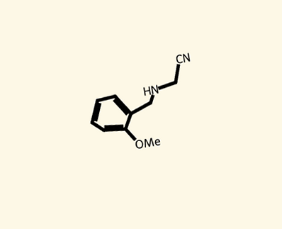 COc1ccccc1CNCC#N